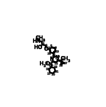 CNCC(O)COc1cccc(-c2nc(N(C)C3CCCCC3)cc(C3(C)CC3)n2)c1